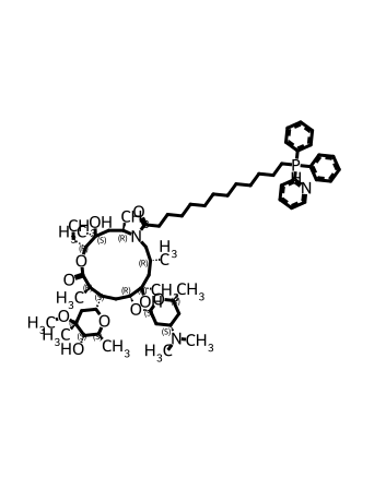 CC[C@H]1OC(=O)[C@H](C)[C@@H](C2C[C@@](C)(OC)[C@@H](O)[C@H](C)O2)C[C@@H](O[C@H]2C[C@@H](N(C)C)C[C@@H](C)O2)[C@](C)(O)C[C@@H](C)CN(C(=O)CCCCCCCCCCCC[PH](c2ccccc2)(c2ccccc2)c2ccccn2)[C@H](C)C[C@]1(C)O